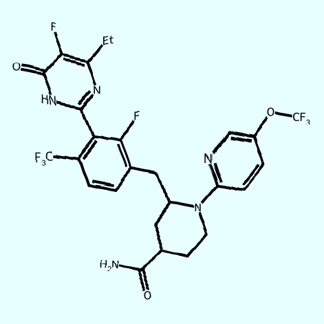 CCc1nc(-c2c(C(F)(F)F)ccc(CC3CC(C(N)=O)CCN3c3ccc(OC(F)(F)F)cn3)c2F)[nH]c(=O)c1F